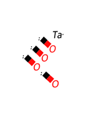 [C]=O.[C]=O.[C]=O.[C]=O.[Ta]